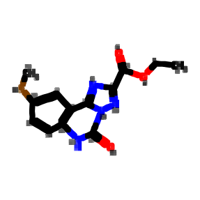 CCOC(=O)c1nc2c3cc(SC)ccc3[nH]c(=O)n2n1